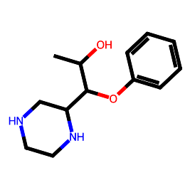 CC(O)C(Oc1ccccc1)C1CNCCN1